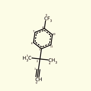 C#CC(C)(C)c1ccc(C(F)(F)F)cc1